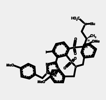 COc1ccc(CN(Cc2ccc(OC)cc2)S(=O)(=O)c2c(S(=O)(=O)N[C@@H](C)CN(C(=O)O)C(C)(C)C)ccc(I)c2-c2nnn(Cc3ccc(OC)cc3)n2)cc1